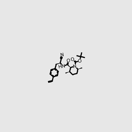 C=Cc1ccc(C[C@@H](C#N)NC(=O)[C@@H]2[C@H](C)CC[C@H](C)N2C(=O)OC(C)(C)C)cc1